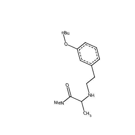 CCCCOc1cccc(CCNC(C)C(=O)NC)c1